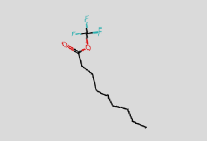 CCCCCCCCC(=O)OC(F)(F)F